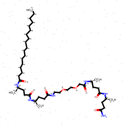 NC(=O)CC[C@H](NC(=O)CC[C@H](NC(=O)COCCOCCNC(=O)CC[C@H](NC(=O)CC[C@H](NC(=O)CCCCCCCCCCCCCCCCC(=O)O)C(=O)O)C(=O)O)C(=O)O)C(=O)O